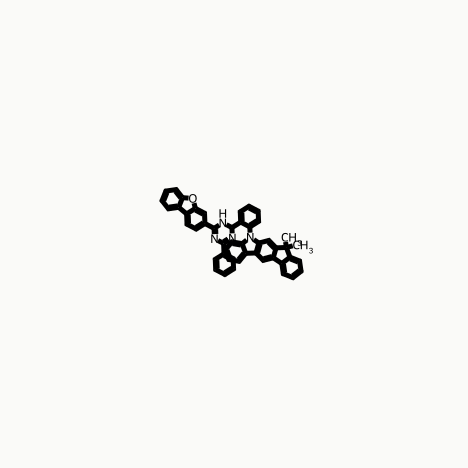 CC1(C)c2ccccc2-c2cc3c4ccccc4n(-c4ccccc4C4N=C(c5ccccc5)N=C(c5ccc6c(c5)oc5ccccc56)N4)c3cc21